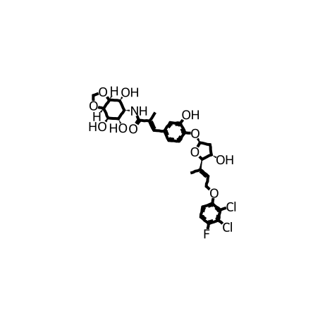 C/C(=C\c1ccc(O[C@H]2C[C@H](O)[C@@H](/C(C)=C/COc3ccc(F)c(Cl)c3Cl)O2)c(O)c1)C(=O)N[C@@H]1[C@H](O)[C@@H](O)[C@H]2OCO[C@H]2[C@@H]1O